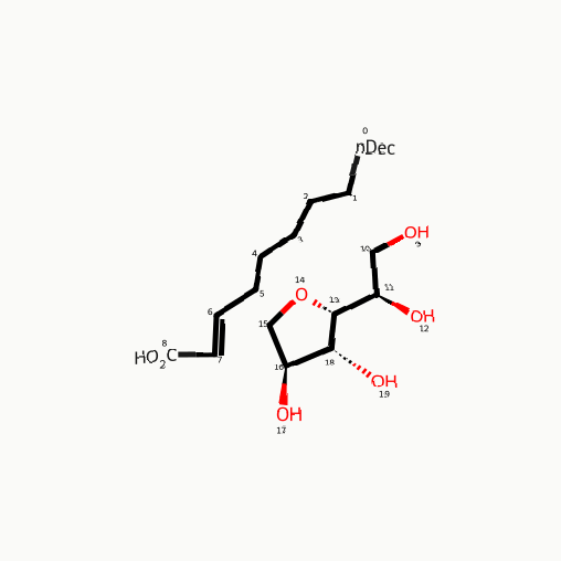 CCCCCCCCCCCCCCCC=CC(=O)O.OC[C@@H](O)[C@H]1OC[C@H](O)[C@H]1O